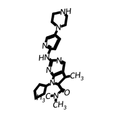 CC1c2cnc(Nc3ccc(N4CCNCC4)cn3)nc2N(C2CCCC2)C1C(=O)N(C)C